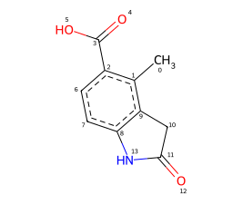 Cc1c(C(=O)O)ccc2c1CC(=O)N2